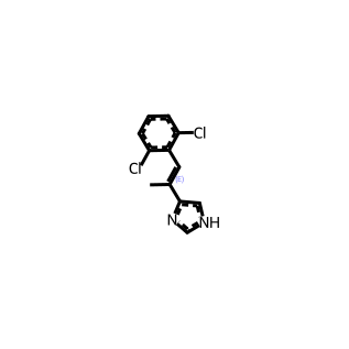 C/C(=C\c1c(Cl)cccc1Cl)c1c[nH]cn1